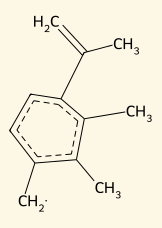 [CH2]c1ccc(C(=C)C)c(C)c1C